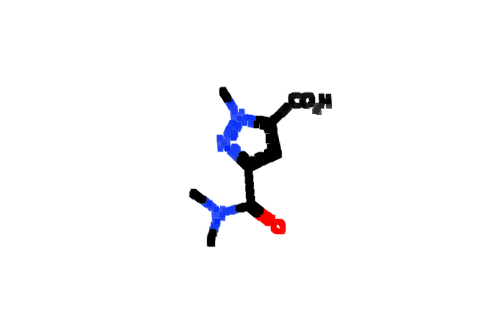 CN(C)C(=O)c1cc(C(=O)O)n(C)n1